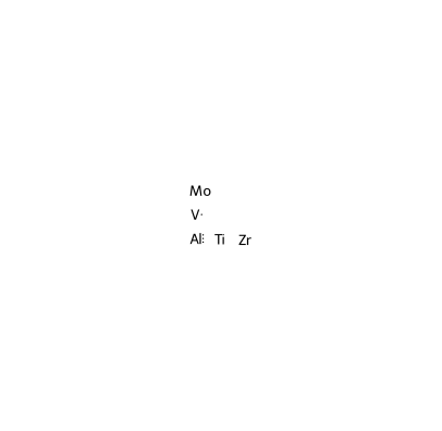 [Al].[Mo].[Ti].[V].[Zr]